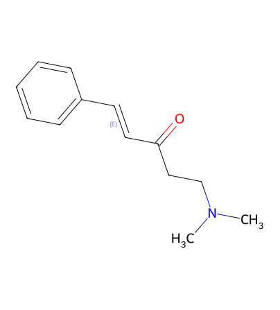 CN(C)CCC(=O)/C=C/c1ccccc1